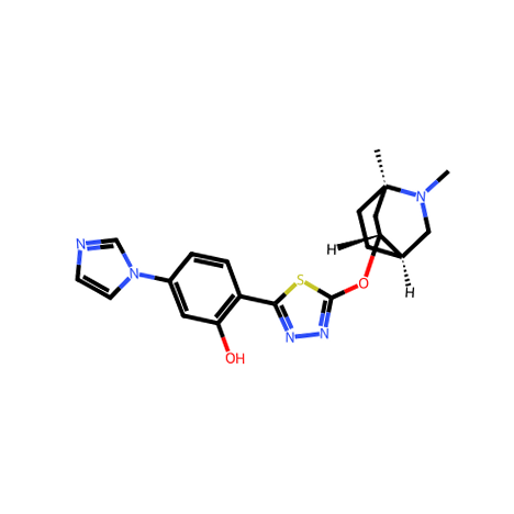 CN1C[C@H]2CC[C@]1(C)C[C@H]2Oc1nnc(-c2ccc(-n3ccnc3)cc2O)s1